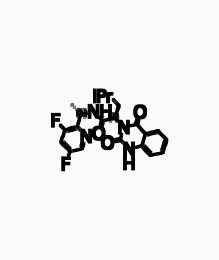 CC(C)C[C@H](C(=O)N[C@@H](C)c1ncc(F)cc1F)n1c(=O)[nH]c2ccccc2c1=O